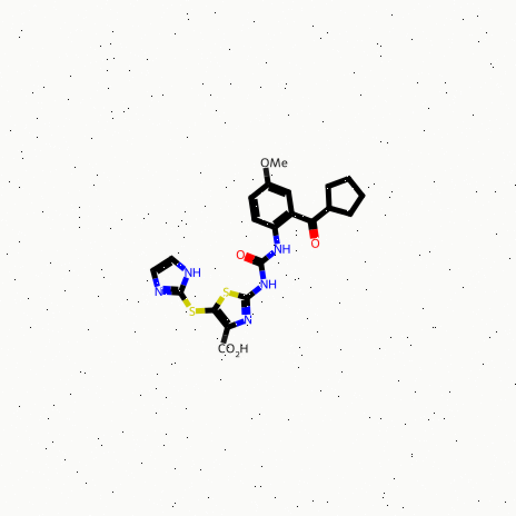 COc1ccc(NC(=O)Nc2nc(C(=O)O)c(Sc3ncc[nH]3)s2)c(C(=O)C2CCCC2)c1